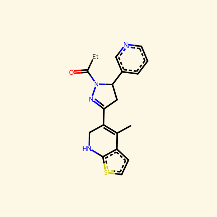 CCC(=O)N1N=C(C2=C(C)c3ccsc3NC2)CC1c1cccnc1